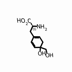 N[C@@H](CC1=CCC(O)(CO)C=C1)C(=O)O